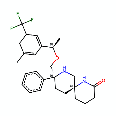 CC1=CC([C@@H](C)OC[C@@]2(c3ccccc3)CC[C@@]3(CCCC(=O)N3)CN2)=CC(C(F)(F)F)C1